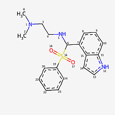 CN(C)CCNC(c1cccc2[nH]ccc12)S(=O)(=O)c1ccccc1